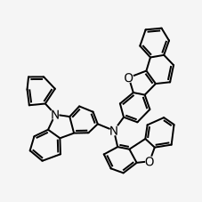 c1ccc(-n2c3ccccc3c3cc(N(c4ccc5c(c4)oc4c6ccccc6ccc54)c4cccc5oc6ccccc6c45)ccc32)cc1